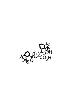 CC1(C)OB(O)c2c(C(=O)NC[C@H](NC(=O)c3cccc4c3B(O)OC4(C)C)C(=O)O)cccc21